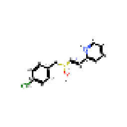 [O-][S+](/C=C/c1ccccn1)Cc1ccc(Cl)cc1